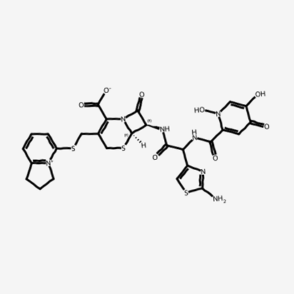 Nc1nc(C(NC(=O)c2cc(=O)c(O)cn2O)C(=O)N[C@@H]2C(=O)N3C(C(=O)[O-])=C(CSc4cccc5[n+]4CCC5)CS[C@H]23)cs1